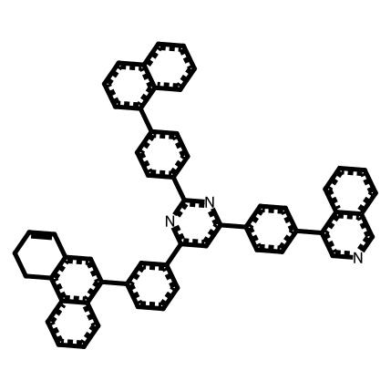 C1=Cc2cc(-c3cccc(-c4cc(-c5ccc(-c6cncc7ccccc67)cc5)nc(-c5ccc(-c6cccc7ccccc67)cc5)n4)c3)c3ccccc3c2CC1